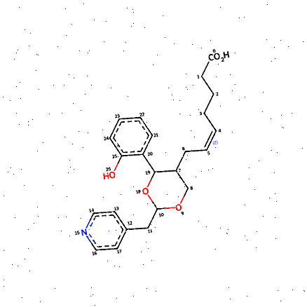 O=C(O)CCC/C=C\CC1COC(Cc2ccncc2)OC1c1ccccc1O